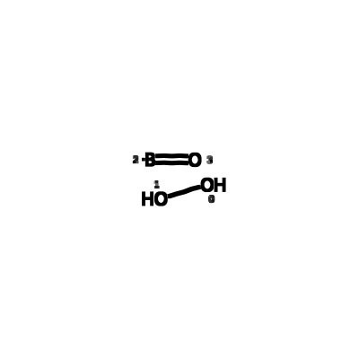 OO.[B]=O